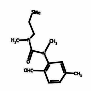 CSCCN(C)C(=O)N(C)c1cc(C)ccc1C=O